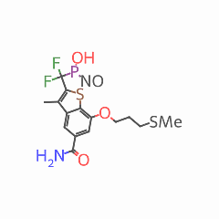 CSCCCOc1cc(C(N)=O)cc2c(C)c(C(F)(F)P(O)N=O)sc12